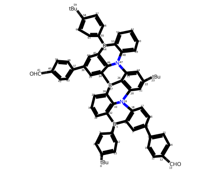 CC(C)(C)c1ccc(B2c3cc(-c4ccc(C=O)cc4)ccc3N3c4cc(C(C)(C)C)cc5c4B(c4cccc2c43)c2cc(-c3ccc(C=O)cc3)cc3c2N5c2ccccc2B3c2ccc(C(C)(C)C)cc2)cc1